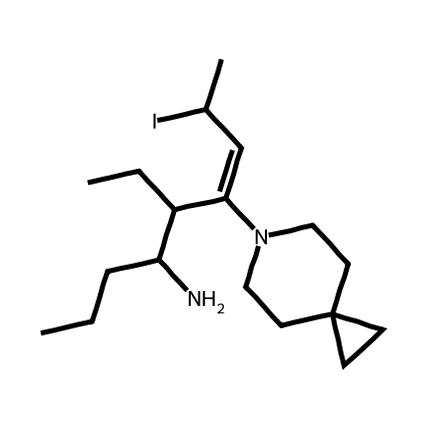 CCCC(N)C(CC)/C(=C\C(C)I)N1CCC2(CC1)CC2